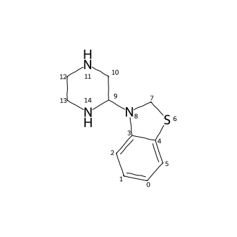 c1ccc2c(c1)SCN2C1CNCCN1